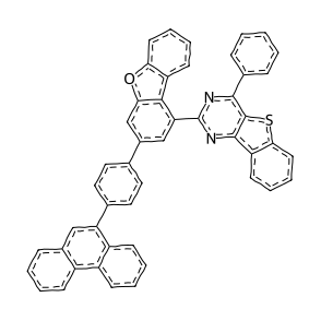 c1ccc(-c2nc(-c3cc(-c4ccc(-c5cc6ccccc6c6ccccc56)cc4)cc4oc5ccccc5c34)nc3c2sc2ccccc23)cc1